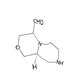 O=CC1COC[C@@H]2CNCCN12